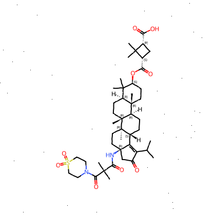 CC(C)C1=C2[C@H]3CC[C@@H]4[C@@]5(C)CC[C@H](OC(=O)[C@H]6C[C@@H](C(=O)O)C6(C)C)C(C)(C)[C@@H]5CC[C@@]4(C)[C@]3(C)CC[C@@]2(NC(=O)C(C)(C)C(=O)N2CCS(=O)(=O)CC2)CC1=O